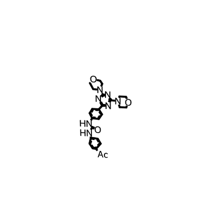 CC(=O)c1ccc(NC(=O)Nc2ccc(-c3nc(N4CCOCC4)nc(N4CCOCC4)n3)cc2)cc1